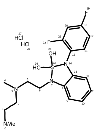 CNCCN(C)CCN1c2ccccc2N(c2ccc(F)cc2F)S1(O)O.Cl.Cl